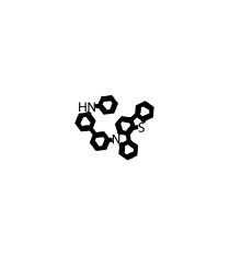 c1ccc(Nc2cccc(-c3cccc(-n4c5ccccc5c5c6sc7ccccc7c6ccc54)c3)c2)cc1